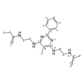 CCC(=O)NCCNc1nc(-c2ccccc2)nc(NCCNC(C)=O)c1C